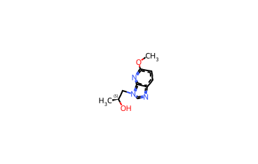 COc1ccc2ncn(C[C@H](C)O)c2n1